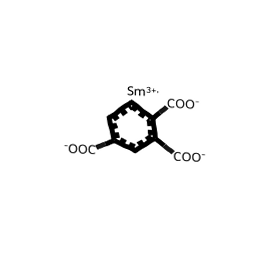 O=C([O-])c1ccc(C(=O)[O-])c(C(=O)[O-])c1.[Sm+3]